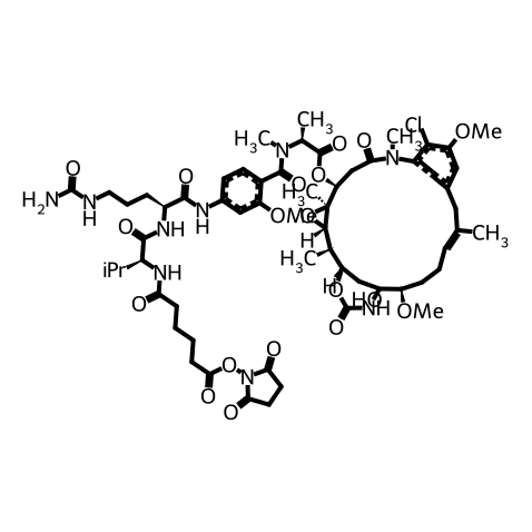 COc1cc(NC(=O)[C@H](CCCNC(N)=O)NC(=O)[C@@H](NC(=O)CCCCC(=O)ON2C(=O)CCC2=O)C(C)C)ccc1C(=O)N(C)[C@@H](C)C(=O)O[C@H]1CC(=O)N(C)c2cc(cc(OC)c2Cl)C/C(C)=C/CC[C@@H](OC)[C@@]2(O)C[C@H](OC(=O)N2)[C@@H](C)[C@@H]2O[C@@]12C